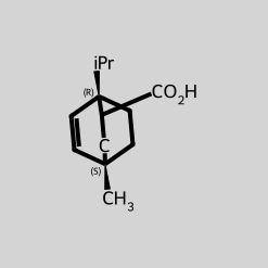 CC(C)[C@@]12C=C[C@@](C)(CC1)CC2C(=O)O